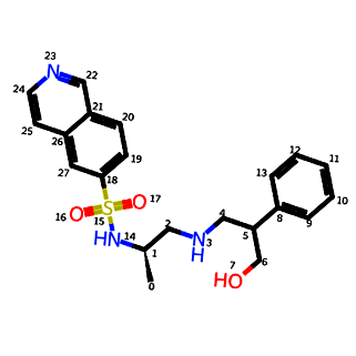 C[C@H](CNCC(CO)c1ccccc1)NS(=O)(=O)c1ccc2cnccc2c1